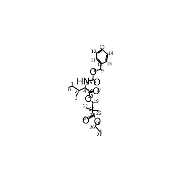 CC[C@H](C)[C@H](NC(=O)OCc1ccccc1)C(=O)OCC(C)(C)C(=O)OCI